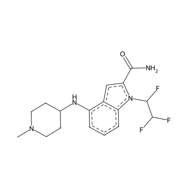 CN1CCC(Nc2cccc3c2cc(C(N)=O)n3C(F)C(F)F)CC1